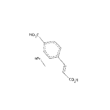 CCCC.O=C(O)/C=C/c1ccc(C(=O)O)cc1